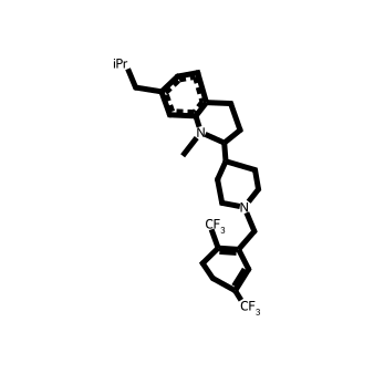 CC(C)Cc1ccc2c(c1)N(C)C(C1CCN(CC3=C(C(F)(F)F)CCC(C(F)(F)F)=C3)CC1)CC2